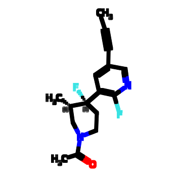 CC#Cc1cnc(F)c([C@@]2(F)CCN(C(C)=O)C[C@@H]2C)c1